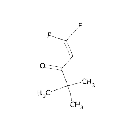 CC(C)(C)C(=O)C=C(F)F